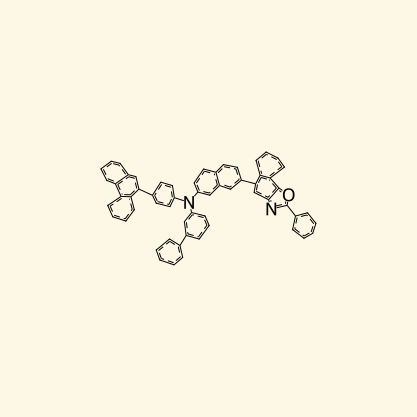 c1ccc(-c2cccc(N(c3ccc(-c4cc5ccccc5c5ccccc45)cc3)c3ccc4ccc(-c5cc6nc(-c7ccccc7)oc6c6ccccc56)cc4c3)c2)cc1